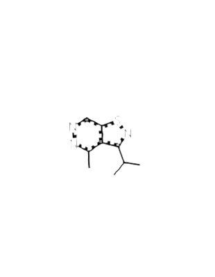 Cc1nncc2snc(C(C)C)c12